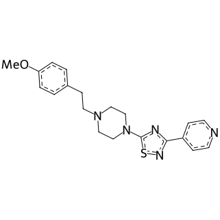 COc1ccc(CCN2CCN(c3nc(-c4ccncc4)ns3)CC2)cc1